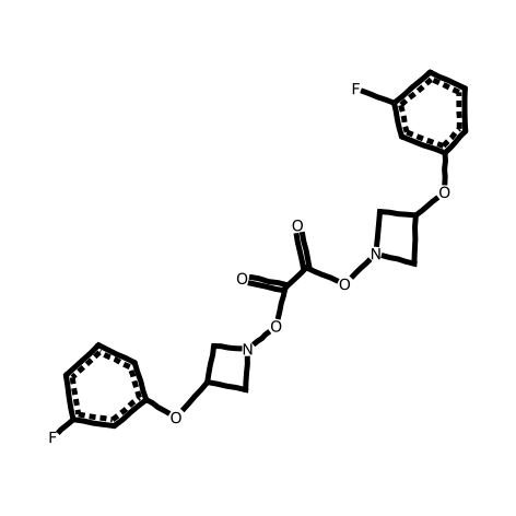 O=C(ON1CC(Oc2cccc(F)c2)C1)C(=O)ON1CC(Oc2cccc(F)c2)C1